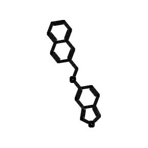 c1ccc2cc(COc3ccc4cocc4c3)ccc2c1